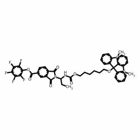 CCC(NC(=O)OCCCCCCOC(c1ccccc1)(c1ccccc1OC)c1ccccc1OC)N1C(=O)c2ccc(C(=O)Oc3c(F)c(F)c(F)c(F)c3F)cc2C1=O